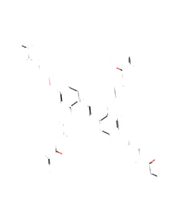 C=CC(=O)OCCOc1ccc(/C=C/c2ccc(OCCOC(O)C=C)cc2OCCOC(=O)C=C)c(OCCOC(=O)C=C)c1